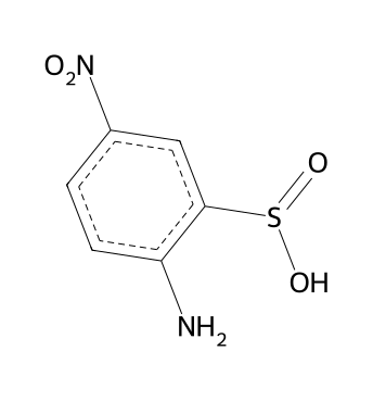 Nc1ccc([N+](=O)[O-])cc1S(=O)O